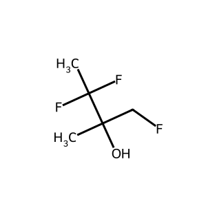 CC(F)(F)C(C)(O)CF